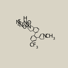 CN1CC=C(c2cc(C(F)(F)F)ccc2-c2cccc3c2CCN(S(=O)(=O)Nc2ncns2)C3)CC1